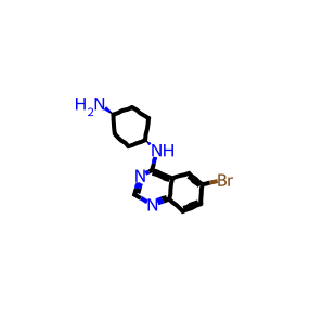 N[C@H]1CC[C@H](Nc2ncnc3ccc(Br)cc23)CC1